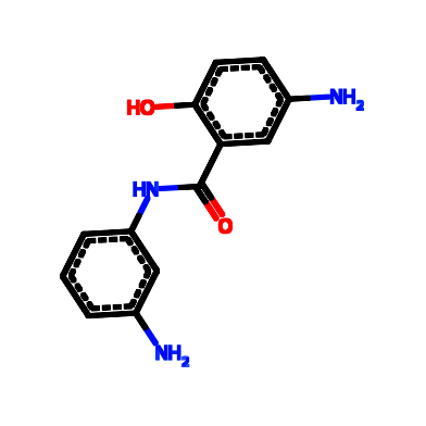 Nc1cccc(NC(=O)c2cc(N)ccc2O)c1